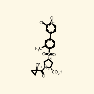 O=C(O)[C@@H]1C[C@@H](S(=O)(=O)c2ccc(-c3cc[n+]([O-])c(Cl)c3)cc2C(F)(F)F)CN1C(=O)C1(C(F)(F)F)CC1